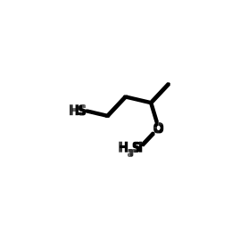 CC(CCS)O[SiH3]